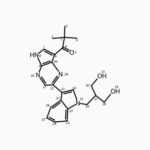 CC(C)(C)C(=O)c1c[nH]c2ncc(-c3cn(CC(CO)CO)c4ccccc34)nc12